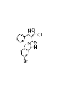 Clc1onc(-c2ccccc2)c1-c1nnc2n1Cc1ccc(Br)cc1-2